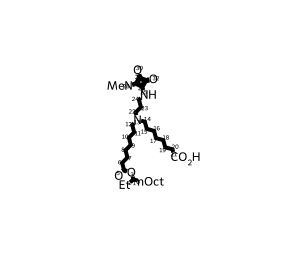 CCCCCCCCC(CC)OC(=O)CCCCCCCN(CCCCCCCC(=O)O)CCCNc1c(NC)c(=O)c1=O